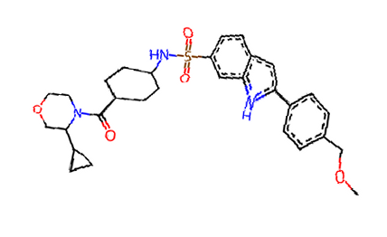 COCc1ccc(-c2cc3ccc(S(=O)(=O)NC4CCC(C(=O)N5CCOCC5C5CC5)CC4)cc3[nH]2)cc1